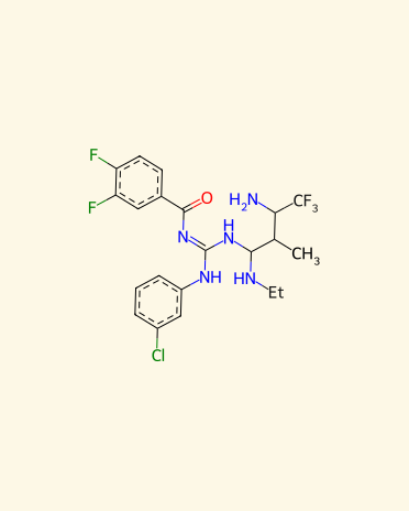 CCNC(N/C(=N\C(=O)c1ccc(F)c(F)c1)Nc1cccc(Cl)c1)C(C)C(N)C(F)(F)F